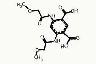 COCC(=O)Nc1cc(NC(=O)COC)c(C(=O)O)cc1C(=O)O